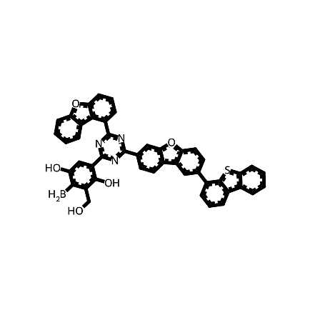 Bc1c(O)cc(-c2nc(-c3ccc4c(c3)oc3ccc(-c5cccc6c5sc5ccccc56)cc34)nc(-c3cccc4oc5ccccc5c34)n2)c(O)c1CO